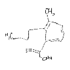 CCCc1c(C)cccc1C(O)=S